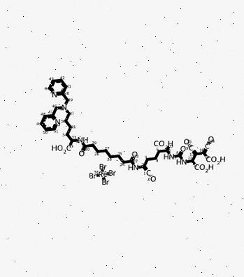 O=C=C(CCCC(NC(=O)NC(C(=O)O)C(=C=O)C(=C=O)C(=O)O)C(=O)O)NC(=O)CCCCCCC(=O)NC(CCCCN(Cc1ccccn1)Cc1ccccn1)C(=O)O.[Br][Re]([Br])([Br])[Br]